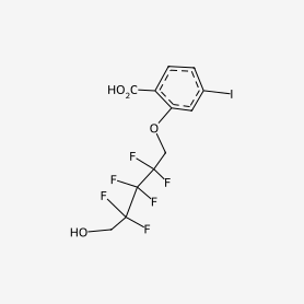 O=C(O)c1ccc(I)cc1OCC(F)(F)C(F)(F)C(F)(F)CO